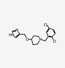 Clc1ccc(Cl)c(CN2CCC(OCc3c[nH]cn3)CC2)c1